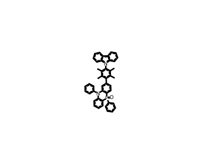 Cc1c(C)c(-n2c3ccccc3c3ccccc32)c(C)c(C)c1-c1ccc2c(c1)N(c1ccccc1)c1ccccc1P2(=O)c1ccccc1